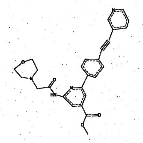 COC(=O)c1cc(NC(=O)CN2CCOCC2)nc(-c2ccc(C#Cc3cccnc3)cc2)c1